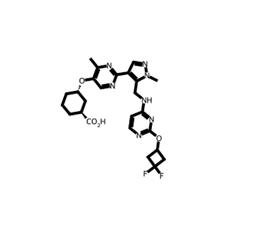 Cc1nc(-c2cnn(C)c2CNc2ccnc(OC3CC(F)(F)C3)n2)ncc1O[C@H]1CCC[C@H](C(=O)O)C1